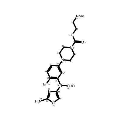 CNCCOC(=O)N1CCN(c2ccc(Br)c(N(C=O)c3coc(N)n3)c2)CC1